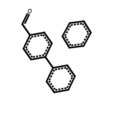 O=Cc1ccc(-c2ccccc2)cc1.c1ccccc1